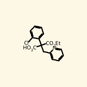 CCOC(=O)C(Cc1ccccn1)(C(=O)O)c1ccccc1Cl